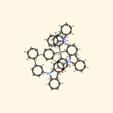 c1ccc(-c2cccc(-n3c4ccccc4c4cc(-n5c6ccccc6c6ccc(-n7c8ccccc8c8ccccc87)c([Si](c7ccccc7)(c7ccccc7)c7ccccc7)c65)ccc43)c2)cc1